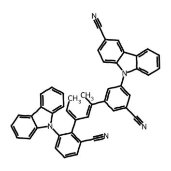 C/C=C(\C=C(/C)c1cc(C#N)cc(-n2c3ccccc3c3cc(C#N)ccc32)c1)c1c(C#N)cccc1-n1c2ccccc2c2ccccc21